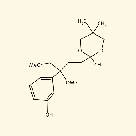 COCC(CCC1(C)OCC(C)(C)CO1)(OC)c1cccc(O)c1